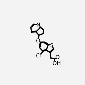 O=C(O)Cc1csc2cc(OC3CCc4ncccc43)cc(Cl)c12